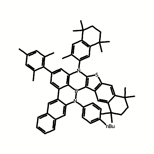 CCCCc1ccc(N2B3c4c(cc(-c5c(C)cc(C)cc5C)cc4N(c4cc5c(cc4C)C(C)(C)CCC5(C)C)c4sc5cc6c(cc5c43)C(C)(C)CCC6(C)C)-c3cc4ccccc4cc32)cc1